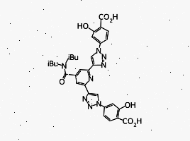 CCC(C)N(C(=O)c1cc(-c2cn(-c3ccc(C(=O)O)c(O)c3)nn2)nc(-c2cn(-c3ccc(C(=O)O)c(O)c3)nn2)c1)C(C)CC